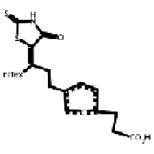 CCCCCC/C(CCc1ccc(CCC(=O)O)cc1)=C1\SC(=S)NC1=O